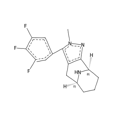 Cn1nc2c(c1-c1cc(F)c(F)c(F)c1)C[C@@H]1CCC[C@H]2N1